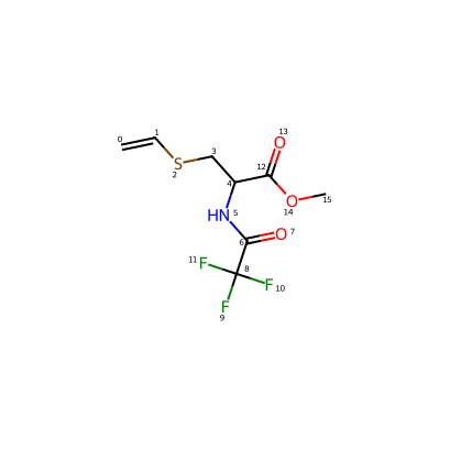 C=CSCC(NC(=O)C(F)(F)F)C(=O)OC